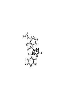 C=C(c1cccc(C2CC2)c1C)c1nccn1Cc1ccccc1